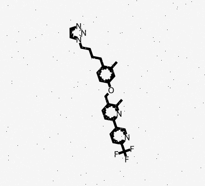 Cc1cc(OCc2ccc(-c3ccc(C(F)(F)F)nc3)nc2C)ccc1CCCCn1ccnn1